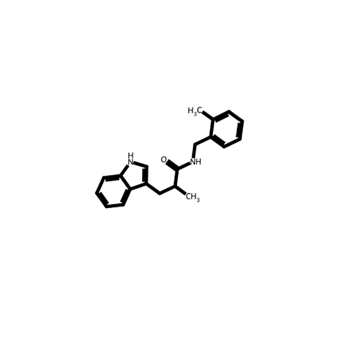 Cc1ccccc1CNC(=O)C(C)Cc1c[nH]c2ccccc12